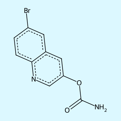 NC(=O)Oc1cnc2ccc(Br)cc2c1